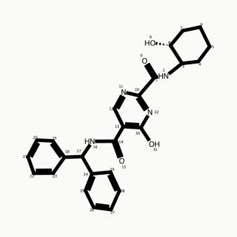 O=C(NC1CCC[CH][C@H]1O)c1ncc(C(=O)NC(c2ccccc2)c2ccccc2)c(O)n1